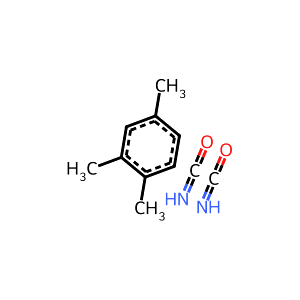 Cc1ccc(C)c(C)c1.N=C=O.N=C=O